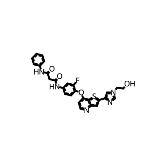 O=C(CC(=O)Nc1ccc(Oc2ccnc3cc(-c4cn(CCO)cn4)sc23)c(F)c1)Nc1ccccc1